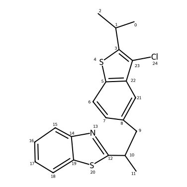 CC(C)c1sc2ccc(CC(C)c3nc4ccccc4s3)cc2c1Cl